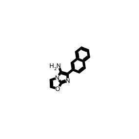 Nc1c(-c2ccc3ccccc3c2)nc2occn12